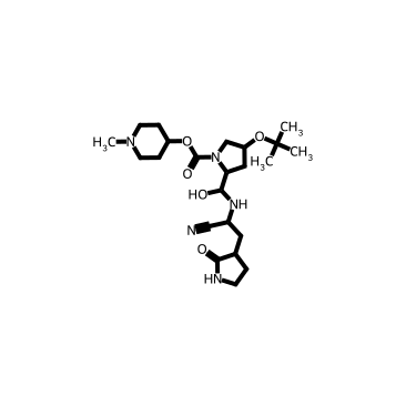 CN1CCC(OC(=O)N2CC(OC(C)(C)C)CC2C(O)NC(C#N)CC2CCNC2=O)CC1